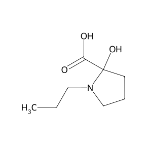 CCCN1CCCC1(O)C(=O)O